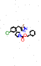 O=C(OCc1ccccc1)N1CCC[C@@H]1c1nnsc1Cc1ccc(Cl)cc1